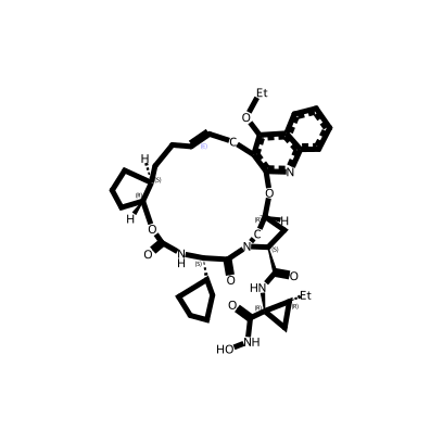 CCOc1c2c(nc3ccccc13)O[C@@H]1C[C@@H](C(=O)N[C@]3(C(=O)NO)C[C@H]3CC)N(C1)C(=O)[C@H](C1CCCC1)NC(=O)O[C@@H]1CCC[C@H]1CC/C=C/C2